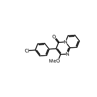 COc1nc2ccccn2c(=O)c1-c1ccc(Cl)cc1